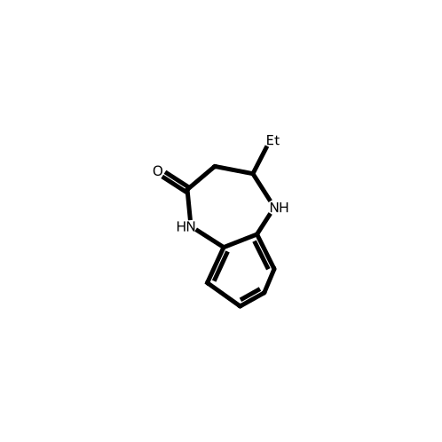 CCC1CC(=O)Nc2ccccc2N1